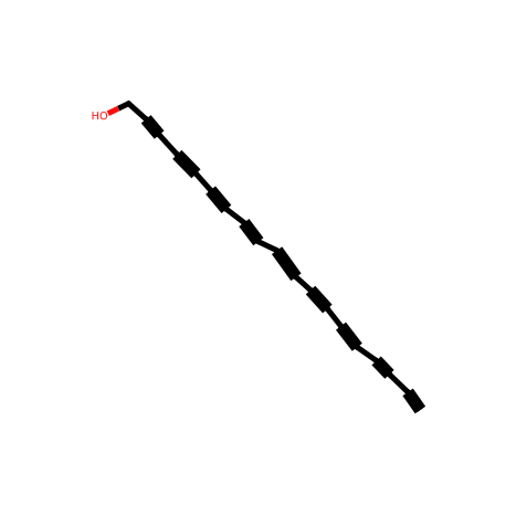 C#CC#CC#CC#CC#CC#CC#CC#CC#CCO